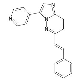 C(=C\c1ccc2ncc(-c3ccncc3)n2n1)/c1ccccc1